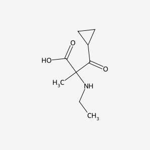 CCNC(C)(C(=O)O)C(=O)C1CC1